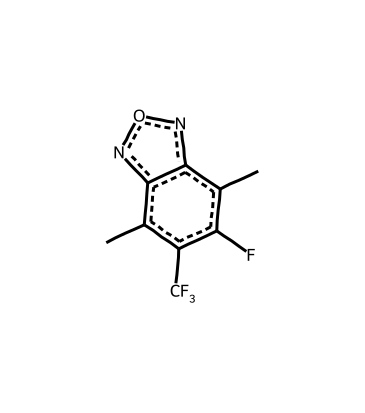 Cc1c(F)c(C(F)(F)F)c(C)c2nonc12